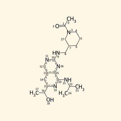 CC(=O)N1CCCC(CNc2ncc3cc(C(C)O)nc(NC(C)C)c3n2)C1